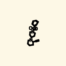 C#CC1CCCCN1C1CCN(S(=O)(=O)c2ccccc2)CC1